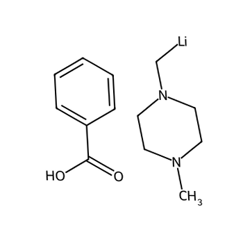 O=C(O)c1ccccc1.[Li][CH2]N1CCN(C)CC1